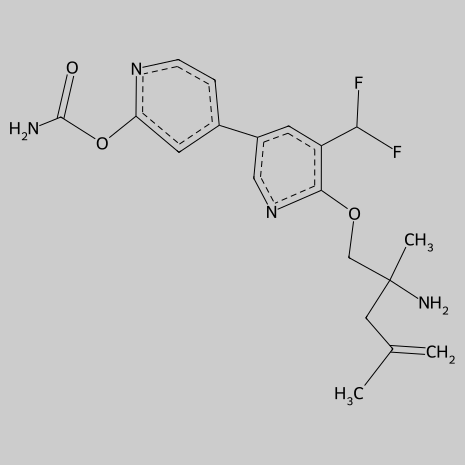 C=C(C)CC(C)(N)COc1ncc(-c2ccnc(OC(N)=O)c2)cc1C(F)F